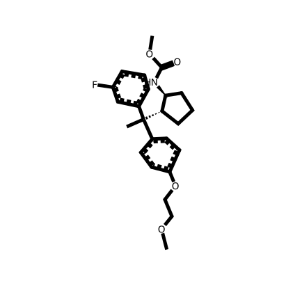 COCCOc1ccc(C(C)(c2cccc(F)c2)[C@H]2CCC[C@@H]2NC(=O)OC)cc1